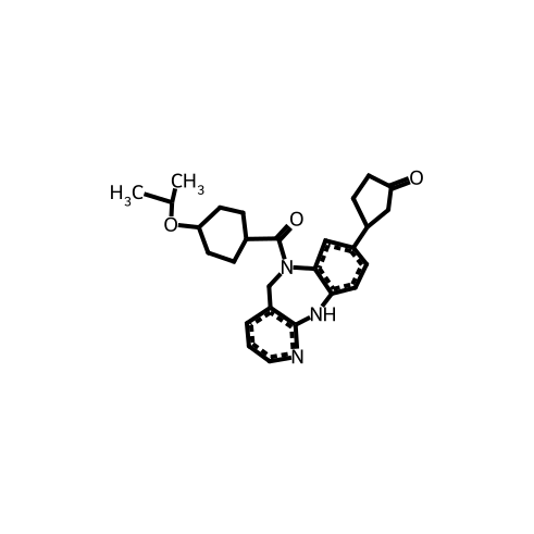 CC(C)OC1CCC(C(=O)N2Cc3cccnc3Nc3ccc(C4CCC(=O)C4)cc32)CC1